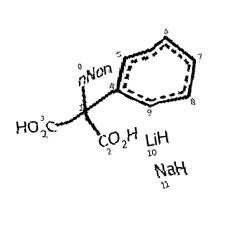 CCCCCCCCCC(C(=O)O)(C(=O)O)c1ccccc1.[LiH].[NaH]